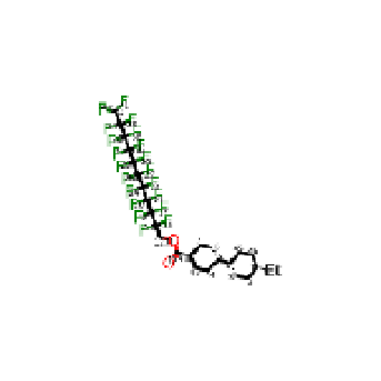 CC[C@H]1CC[C@H]([C@H]2CC[C@H](C(=O)OCC(F)(F)C(F)(F)C(F)(F)C(F)(F)C(F)(F)C(F)(F)C(F)(F)C(F)(F)C(F)(F)C(F)F)CC2)CC1